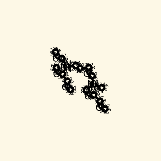 c1ccc(-c2nc(-c3ccc4c(c3)oc3c(-c5ccc6cc(-c7nc(-c8ccc9c(c8)oc8ccccc89)nc(-c8cc(-c9ccc%10c(c9)oc9ccccc9%10)cc9oc%10ccccc%10c89)n7)ccc6c5)cccc34)nc(-c3cccc4oc5cc(-c6ccc7c(c6)oc6ccccc67)ccc5c34)n2)cc1